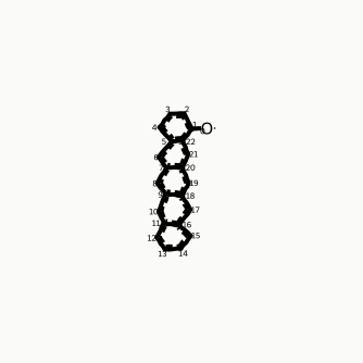 [O]c1cccc2cc3cc4cc5ccccc5cc4cc3cc12